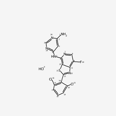 Cl.Nc1cc(Nc2ncc(F)c3nc(-c4c(Cl)cccc4Cl)sc23)ncn1